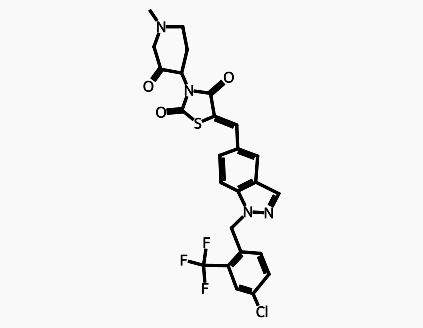 CN1CCC(N2C(=O)S/C(=C\c3ccc4c(cnn4Cc4ccc(Cl)cc4C(F)(F)F)c3)C2=O)C(=O)C1